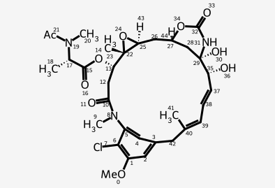 COc1cc2cc(c1Cl)N(C)C(=O)C[C@H](OC(=O)[C@H](C)N(C)C(C)=O)[C@]1(C)O[C@H]1C[C@@H]1C[C@@](O)(NC(=O)O1)[C@H](O)/C=C/C=C(\C)C2